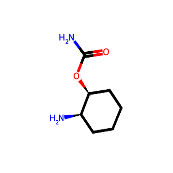 NC(=O)O[C@H]1CCCC[C@H]1N